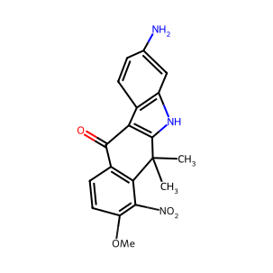 COc1ccc2c(c1[N+](=O)[O-])C(C)(C)c1[nH]c3cc(N)ccc3c1C2=O